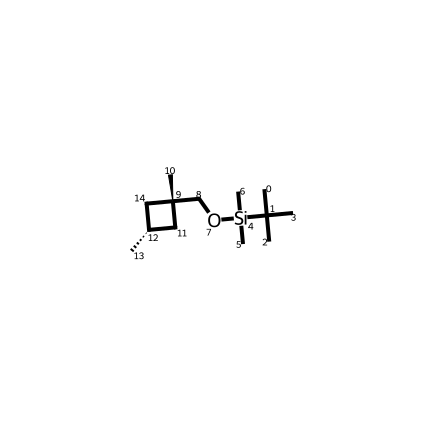 CC(C)(C)[Si](C)(C)OC[C@]1(C)C[C@H](C)C1